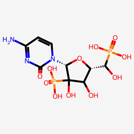 Nc1ccn([C@@H]2O[C@H](C(O)P(=O)(O)O)C(O)C2(O)P(=O)(O)O)c(=O)n1